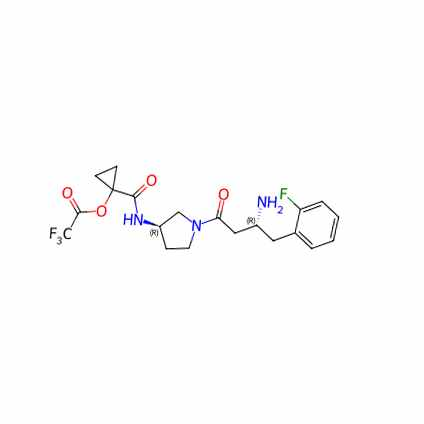 N[C@@H](CC(=O)N1CC[C@@H](NC(=O)C2(OC(=O)C(F)(F)F)CC2)C1)Cc1ccccc1F